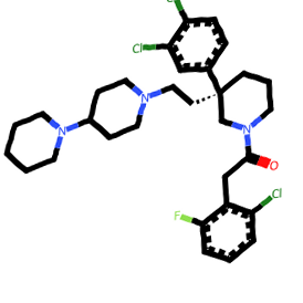 O=C(Cc1c(F)cccc1Cl)N1CCC[C@](CCN2CCC(N3CCCCC3)CC2)(c2ccc(Cl)c(Cl)c2)C1